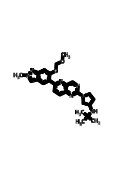 COCOc1cc2nn(C)cc2cc1-c1ccc2nc(N3CCC(NC(C)(C)C)C3)ncc2n1